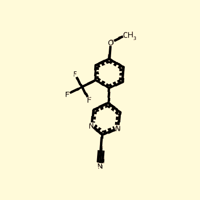 COc1ccc(-c2cnc(C#N)nc2)c(C(F)(F)F)c1